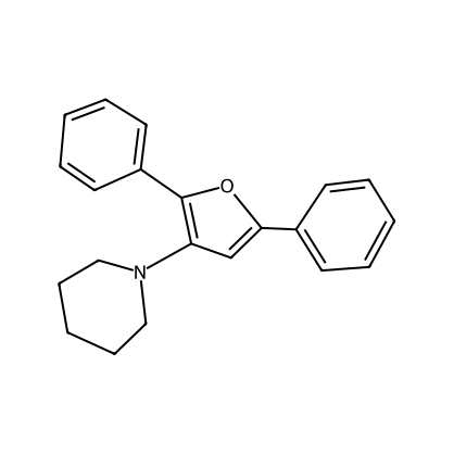 c1ccc(-c2cc(N3CCCCC3)c(-c3ccccc3)o2)cc1